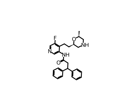 C[C@H]1CNC[C@@H](CCc2c(F)cncc2NC(=O)CC(c2ccccc2)c2ccccc2)O1